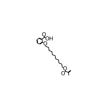 C=C(C)C(=O)OCCCCCCCCCCCOc1ccccc1C(=O)O